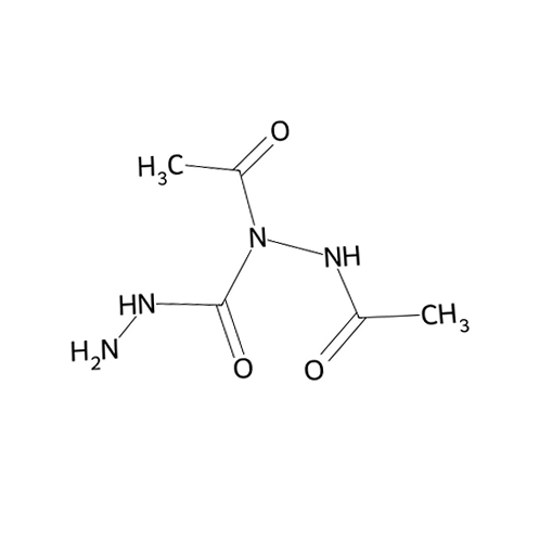 CC(=O)NN(C(C)=O)C(=O)NN